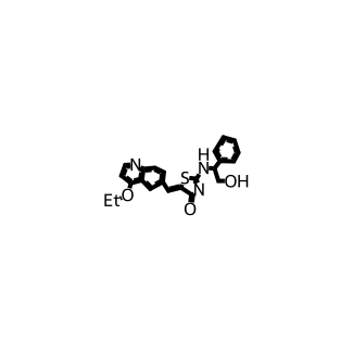 CCOc1ccnc2ccc(/C=C3\SC(NC(CO)c4ccccc4)=NC3=O)cc12